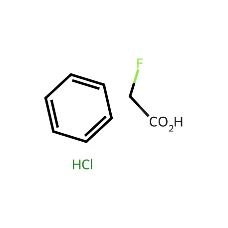 Cl.O=C(O)CF.c1ccccc1